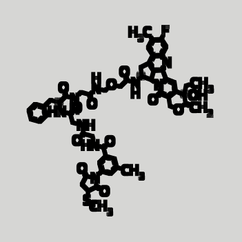 C=C1OCc2c(cc3n(c2=O)C2c4c-3nc3cc(F)c(C)cc3c4C[C@@H]2NC(=O)COCNC(=O)CNC(=O)[C@H](Cc2ccccc2)NC(=O)CNC(=O)CNC(=O)c2cc(C)cc(N3C(=O)CC(SC)C3=O)c2)[C@@]1(O)CC